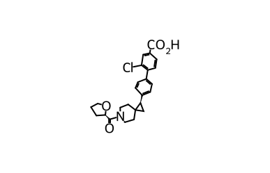 O=C(O)c1ccc(-c2ccc([C@H]3CC34CCN(C(=O)[C@H]3CCCO3)CC4)cc2)c(Cl)c1